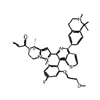 C=CC(=O)N1CCn2nc(-c3nc(-c4ccc5c(c4)CCN(C)C5(C)C)c4ccsc4c3-c3c(F)cc(F)cc3OCCOC)cc2[C@H]1C